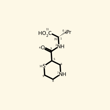 CC(C)[C@H](NC(=O)C1CNCCS1)C(=O)O